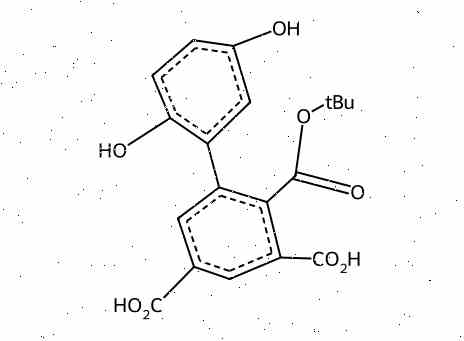 CC(C)(C)OC(=O)c1c(C(=O)O)cc(C(=O)O)cc1-c1cc(O)ccc1O